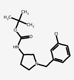 CC(C)(C)OC(=O)NC1CCN(Cc2cccc(Cl)c2)C1